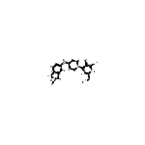 Cc1c(Cl)nc(CO)nc1N1CCC(Oc2ccc3nn(C)cc3c2)CC1